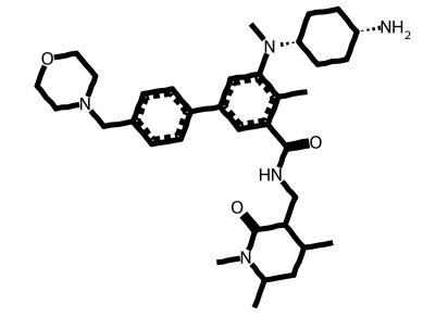 Cc1c(C(=O)NCC2C(=O)N(C)C(C)CC2C)cc(-c2ccc(CN3CCOCC3)cc2)cc1N(C)[C@H]1CC[C@@H](N)CC1